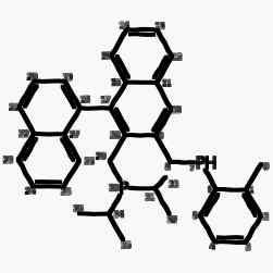 Cc1ccccc1PCc1cc2ccccc2c(-c2cccc3ccccc23)c1CP(C(C)C)C(C)C